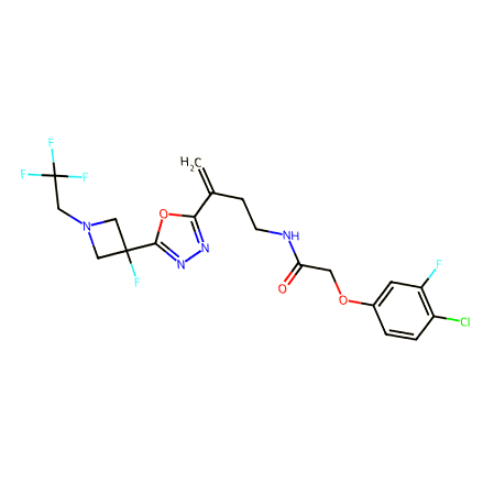 C=C(CCNC(=O)COc1ccc(Cl)c(F)c1)c1nnc(C2(F)CN(CC(F)(F)F)C2)o1